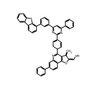 C=c1/c(=C\CCC)oc2c1c(C1C=CC(c3nc(-c4ccccc4)cc(-c4cccc(-c5cccc6c5sc5ccccc56)c4)n3)=CC1)nc1cc(-c3ccccc3)ccc12